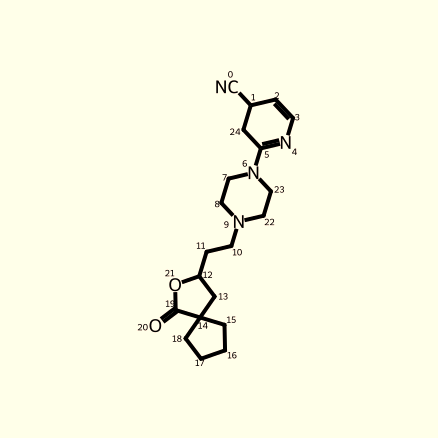 N#CC1C=CN=C(N2CCN(CCC3CC4(CCCC4)C(=O)O3)CC2)C1